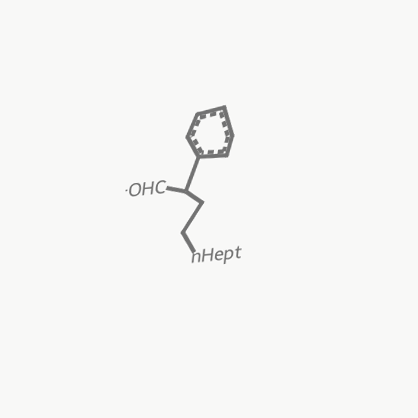 CCCCCCCCCC([C]=O)c1ccccc1